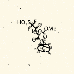 COC(C)OCC12CC3CC(C1)C(OC(=O)COC(=O)C(F)(F)S(=O)(=O)O)C(C3)C2